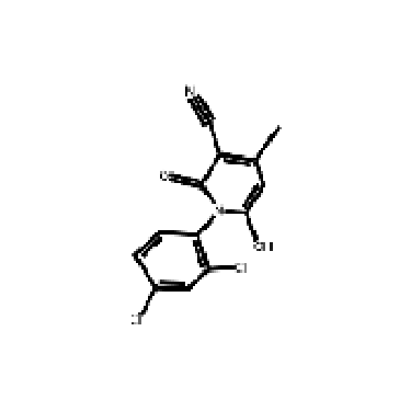 Cc1cc(O)n(-c2ccc(Cl)cc2Cl)c(=O)c1C#N